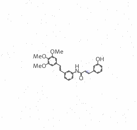 COc1cc(C=Cc2cccc(NC(=O)/C=C/c3cccc(O)c3)c2)cc(OC)c1OC